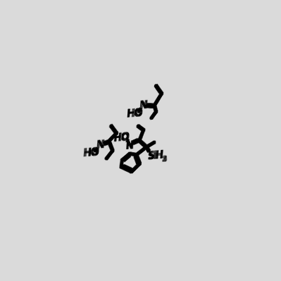 CCC(=NO)C(C)([SiH3])c1ccccc1.CCC(CC)=NO.CCC(CC)=NO